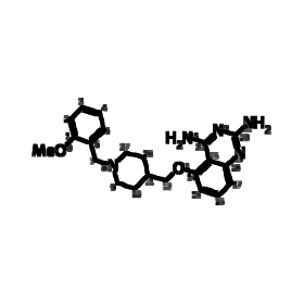 COc1ccccc1CN1CCC(COc2cccc3nc(N)nc(N)c23)CC1